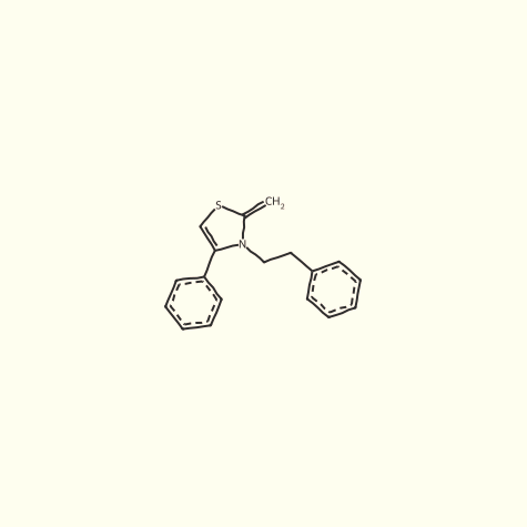 C=C1SC=C(c2ccccc2)N1CCc1ccccc1